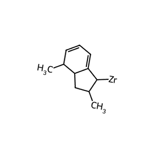 CC1C=CC=C2[CH]([Zr])C(C)CC21